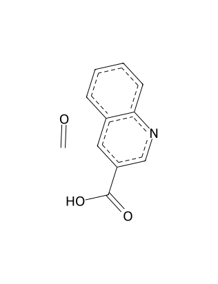 C=O.O=C(O)c1cnc2ccccc2c1